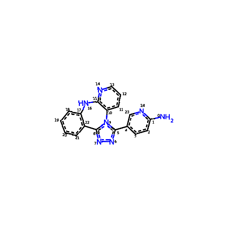 Nc1ccc(-c2nnc3n2-c2cccnc2Nc2ccccc2-3)cn1